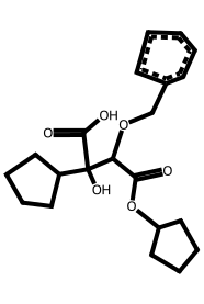 O=C(OC1CCCC1)C(OCc1ccccc1)C(O)(C(=O)O)C1CCCC1